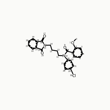 COc1ccccc1C(=O)N(CCCCN1C(=O)c2ccccc2C1=O)c1ccc(Cl)cc1